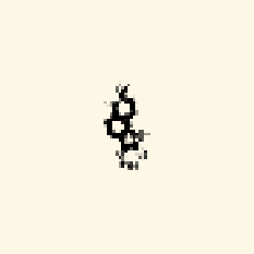 CC(=O)N1CCc2c(ccc3c2NC(=O)/C3=N\O)C1